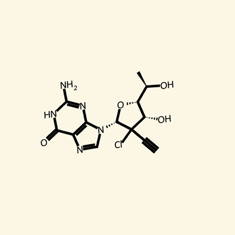 C#CC1(Cl)[C@@H](O)[C@@H]([C@@H](C)O)O[C@H]1n1cnc2c(=O)[nH]c(N)nc21